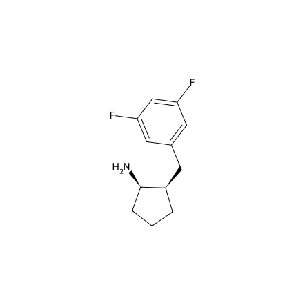 N[C@@H]1CCC[C@@H]1Cc1cc(F)cc(F)c1